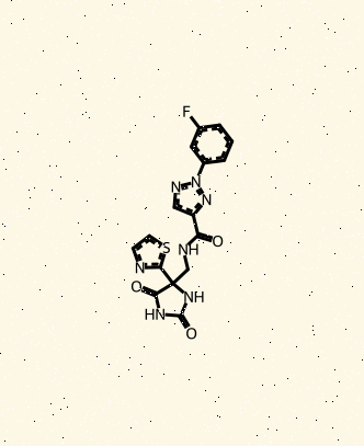 O=C1NC(=O)C(CNC(=O)c2cnn(-c3cccc(F)c3)n2)(c2nccs2)N1